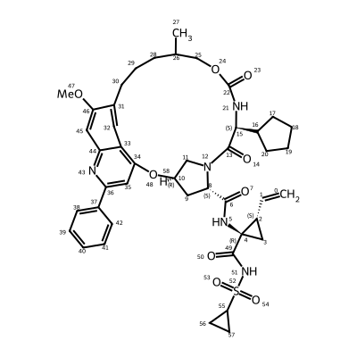 C=C[C@@H]1C[C@]1(NC(=O)[C@@H]1C[C@@H]2CN1C(=O)[C@H](C1CCCC1)NC(=O)OCC(C)CCCc1cc3c(cc(-c4ccccc4)nc3cc1OC)O2)C(=O)NS(=O)(=O)C1CC1